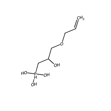 C=CCOCC(O)C[PH](O)(O)O